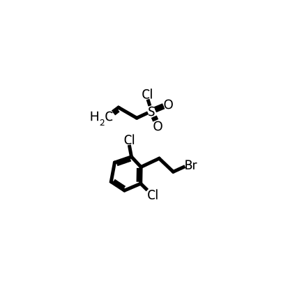 C=CCS(=O)(=O)Cl.Clc1cccc(Cl)c1CCBr